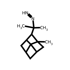 CC(C)(N=N)C1C2CC3CC4CC1(C)C342